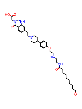 O=CCCCCCCCCC(=O)NCCNCCOc1ccc(C2CCN(CCC3=CC4NCN(CC(=O)O)C(=O)C4C=C3)CC2)cc1